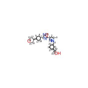 Cc1cc(-c2nc(-c3ccc(C4CCOCC4)cc3)no2)nn1Cc1cccc(C(C)(C)O)c1